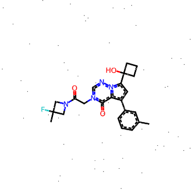 Cc1cccc(-c2cc(C3(O)CCC3)n3ncn(CC(=O)N4CC(C)(F)C4)c(=O)c23)c1